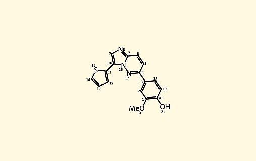 COc1cc(-c2ccc3ncc(-c4cccs4)n3n2)ccc1O